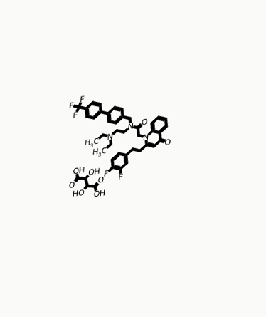 CCN(CC)CCN(Cc1ccc(-c2ccc(C(F)(F)F)cc2)cc1)C(=O)Cn1c(CCc2ccc(F)c(F)c2)cc(=O)c2ccccc21.O=C(O)C(O)C(O)C(=O)O